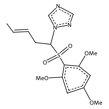 CC=CCC(n1cncn1)S(=O)(=O)c1c(OC)cc(OC)cc1OC